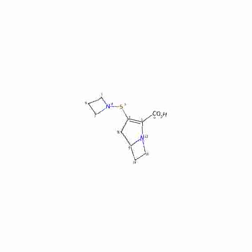 O=C(O)C1=C(SN2CCC2)CC2CCN12